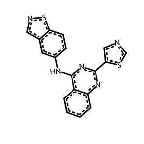 c1ccc2c(Nc3ccc4sncc4c3)nc(-c3cncs3)nc2c1